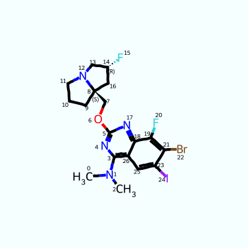 CN(C)c1nc(OC[C@@]23CCCN2C[C@H](F)C3)nc2c(F)c(Br)c(I)cc12